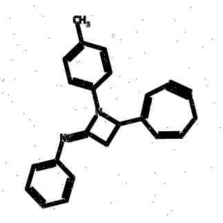 Cc1ccc(N2/C(=N/c3ccccc3)CC2C2=CC#CCC=C2)cc1